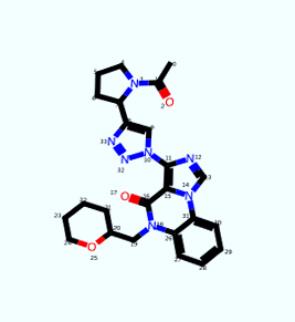 CC(=O)N1CCCC1c1cn(-c2ncn3c2c(=O)n(CC2CCCCO2)c2ccccc23)nn1